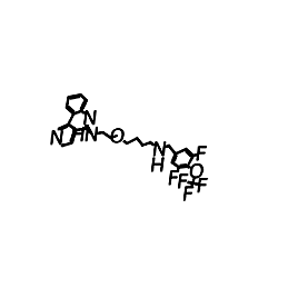 Fc1cc(CNCCCCOCCNc2nc3ccccc3c3cnccc23)cc(F)c1OC(F)(F)F